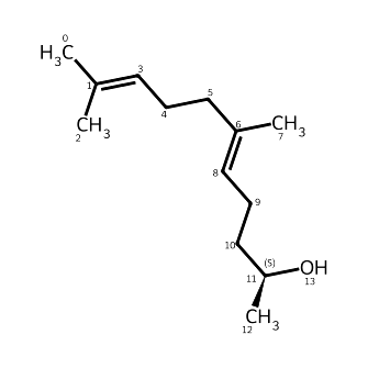 CC(C)=CCCC(C)=CCC[C@H](C)O